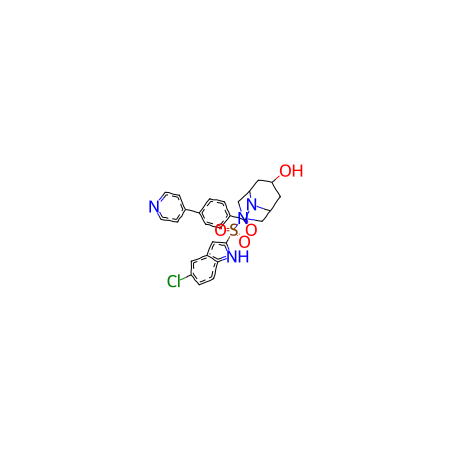 O=C(c1ccc(-c2ccncc2)cc1)N1C2CC(O)CC1CN(S(=O)(=O)c1cc3cc(Cl)ccc3[nH]1)C2